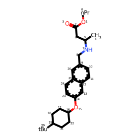 CCCOC(=O)CC(C)NCc1ccc2cc(OC3CCC(C(C)(C)C)CC3)ccc2c1